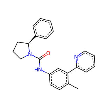 Cc1ccc(NC(=O)N2CCC[C@H]2c2ccccc2)cc1-c1ccccn1